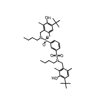 CCCCN(Cc1c(C)cc(C(C)(C)C)c(O)c1C)S(=O)(=O)c1cccc(S(=O)(=O)N(CCCC)Cc2c(C)cc(C(C)(C)C)c(O)c2C)c1